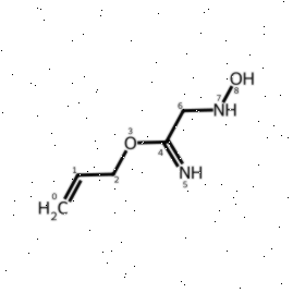 C=CCOC(=N)CNO